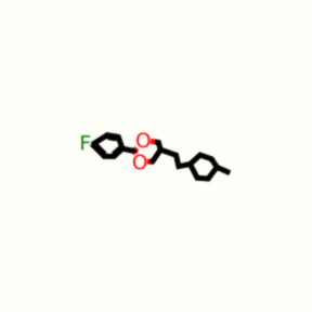 CC1CCC(CCC2COC(c3ccc(F)cc3)OC2)CC1